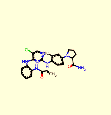 C=CC(=O)Nc1ccccc1Nc1nc(Nc2ccc(N3CCC[C@H]3C(N)=O)cc2C#N)ncc1Cl